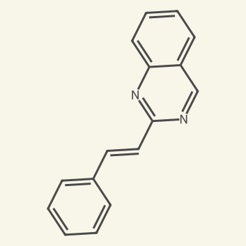 C(=Cc1ncc2ccccc2n1)c1ccccc1